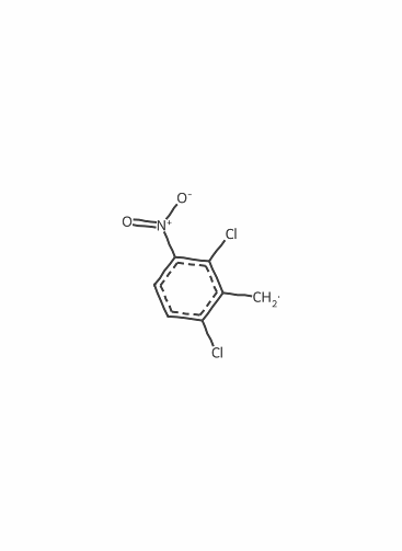 [CH2]c1c(Cl)ccc([N+](=O)[O-])c1Cl